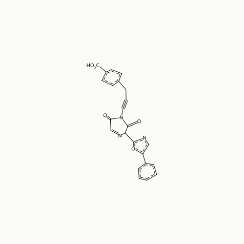 O=C(O)c1ccc(CC#CN2C(=O)C=NC(c3ncc(-c4ccccc4)o3)C2=O)cc1